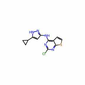 Clc1nc(Nc2cc(C3CC3)[nH]n2)c2ccsc2n1